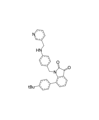 CC(C)(C)c1ccc(-c2cccc3c2N(Cc2ccc(NCc4cccnc4)cc2)C(=O)C3=O)cc1